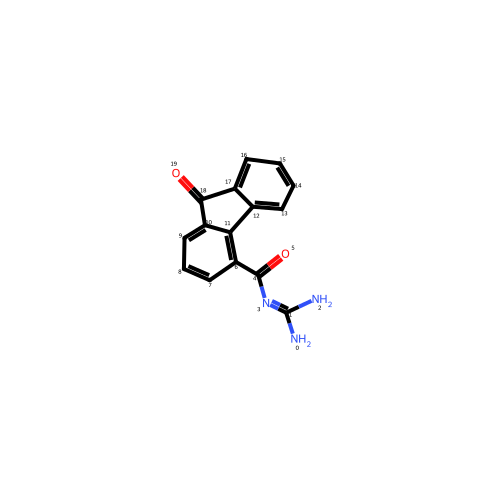 NC(N)=NC(=O)c1cccc2c1-c1ccccc1C2=O